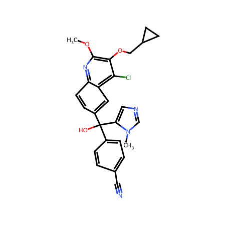 COc1nc2ccc(C(O)(c3ccc(C#N)cc3)c3cncn3C)cc2c(Cl)c1OCC1CC1